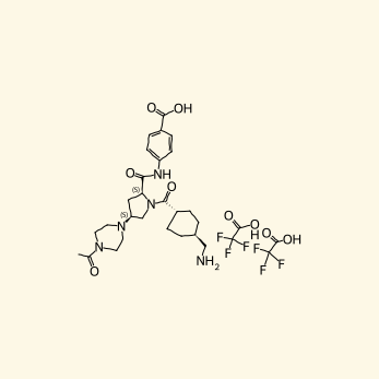 CC(=O)N1CCN([C@H]2C[C@@H](C(=O)Nc3ccc(C(=O)O)cc3)N(C(=O)[C@H]3CC[C@H](CN)CC3)C2)CC1.O=C(O)C(F)(F)F.O=C(O)C(F)(F)F